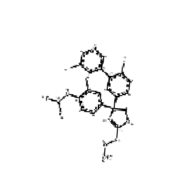 Cc1cc(C2(c3ccc(F)c(-c4cncc(F)c4)c3)COC(NOC=O)=N2)ccc1OC(F)F